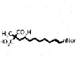 CCCCCCCCC/C=C/CCCCCCCC(C)(C(=O)O)C(=O)O